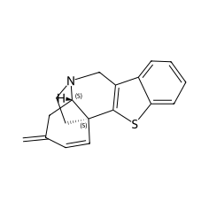 C=C1C=C[C@]23CCN(Cc4c2sc2ccccc42)[C@H]3C1